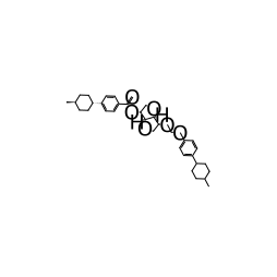 CC1CCC(c2ccc(OCO[C@H]3CO[C@H]4[C@@H]3OC[C@H]4OC(=O)c3ccc([C@H]4CC[C@H](C)CC4)cc3)cc2)CC1